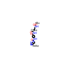 CNc1ncnc2c1ccn2C(=O)Nc1ccc(C(=O)N[C@@H](CCCCNC(=O)OC(C)(C)C)C(=O)OC)cc1